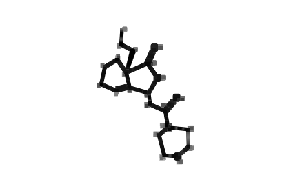 CCC[C@]12CCCC=C1C(CC(=O)N1CCOCC1)OC2=O